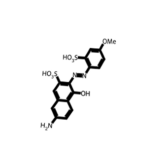 COc1ccc(/N=N/c2c(S(=O)(=O)O)cc3cc(N)ccc3c2O)c(S(=O)(=O)O)c1